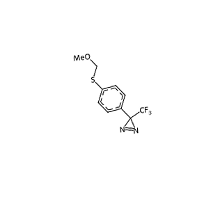 COCSc1ccc(C2(C(F)(F)F)N=N2)cc1